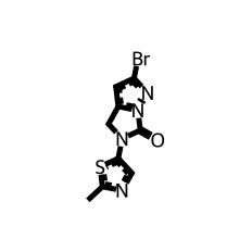 Cc1ncc(N2Cc3cc(Br)nn3C2=O)s1